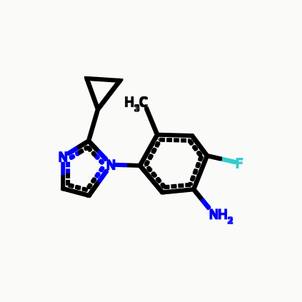 Cc1cc(F)c(N)cc1-n1ccnc1C1CC1